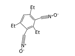 CCc1cc(CC)c(C#[N+][O-])c(CC)c1C#[N+][O-]